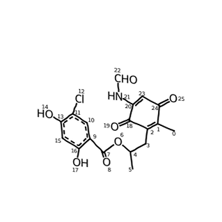 CC1=C(CC(C)OC(=O)c2cc(Cl)c(O)cc2O)C(=O)C(NC=O)=CC1=O